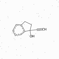 C#CC1(O)CCc2ccccc21